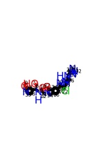 COc1cc([C@@H](CO)NC(=O)[C@@H](C)N2Cc3ccc(C(=N)/C(Cl)=C\N=C(/C)Nc4cnn(C)n4)cc3C2=O)ccn1